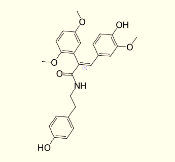 COc1ccc(OC)c(/C(=C\c2ccc(O)c(OC)c2)C(=O)NCCc2ccc(O)cc2)c1